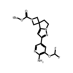 CC(C)(C)OC(=O)N1CC2(CCn3nc(-c4cnc(N)c(OC(F)F)c4)cc32)C1